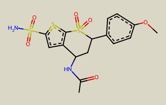 COc1ccc(C2CC(NC(C)=O)c3cc(S(N)(=O)=O)sc3S2(=O)=O)cc1